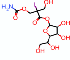 NC(=O)OCC(I)(CO)C(=O)OC1O[C@H](C(O)CO)[C@H](O)[C@@H]1O